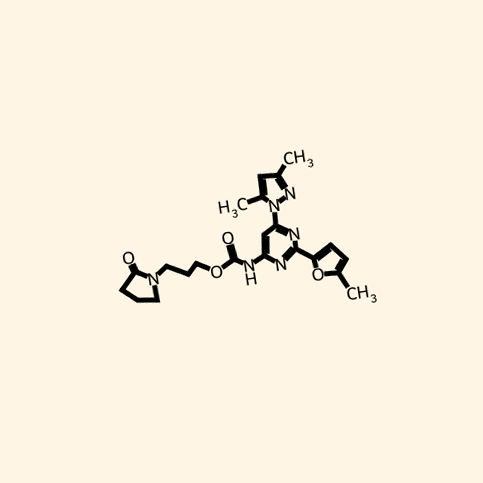 Cc1cc(C)n(-c2cc(NC(=O)OCCCN3CCCC3=O)nc(-c3ccc(C)o3)n2)n1